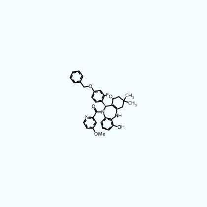 COc1ccnc(C(=O)N2c3cccc(O)c3NC3=C(C(=O)CC(C)(C)C3)[C@@H]2c2ccc(OCc3ccccc3)cc2F)c1